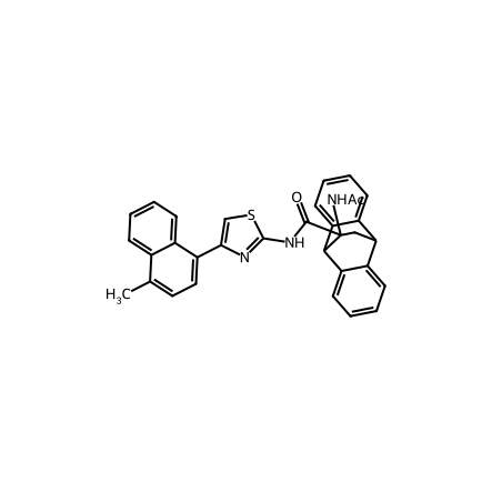 CC(=O)NC1(C(=O)Nc2nc(-c3ccc(C)c4ccccc34)cs2)CC2c3ccccc3C1c1ccccc12